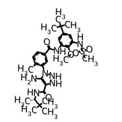 COc1c(NC(=O)c2ccc(C)c(N3NNC(C(=O)N[C@@H](C)C(C)(C)C)=C3N)c2)cc(C(C)(C)C)cc1NS(C)(=O)=O